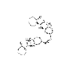 C=C(Nc1cc(N=C=Nc2ccc(C)c(NC(=O)N3CCCCCC3=O)c2)ccc1C)N1CCCCCC1=O